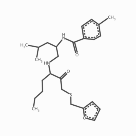 CCCCC(NCC(CC(C)C)NC(=O)c1ccc(C)cc1)C(=O)CSCc1ccco1